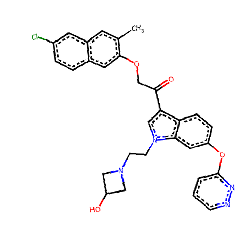 Cc1cc2cc(Cl)ccc2cc1OCC(=O)c1cn(CCN2CC(O)C2)c2cc(Oc3cccnn3)ccc12